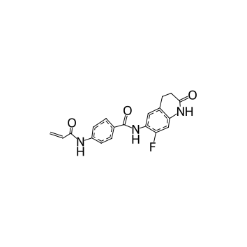 C=CC(=O)Nc1ccc(C(=O)Nc2cc3c(cc2F)NC(=O)CC3)cc1